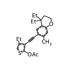 CCc1csc(OC(C)=O)c1C#Cc1cc2c(cc1C)OCCC2(CC)CC